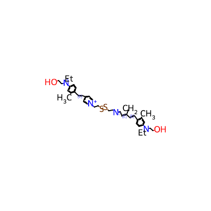 C=CC(/C=C/c1ccc(N(CC)CCO)cc1C)=C\C=N\CCSSCC[n+]1ccc(/C=C/c2ccc(N(CC)CCO)cc2C)cc1